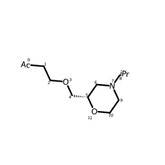 CC(=O)CCOC[C@@H]1CN(C(C)C)CCO1